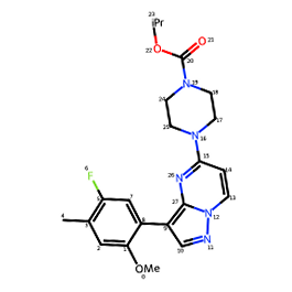 COc1cc(C)c(F)cc1-c1cnn2ccc(N3CCN(C(=O)OC(C)C)CC3)nc12